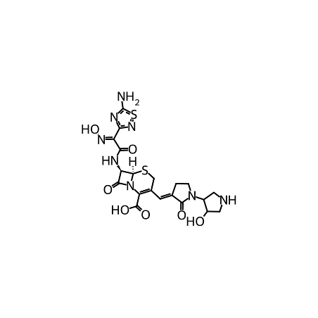 Nc1nc(C(=NO)C(=O)N[C@@H]2C(=O)N3C(C(=O)O)=C(C=C4CCN(C5CNCC5O)C4=O)CS[C@H]23)ns1